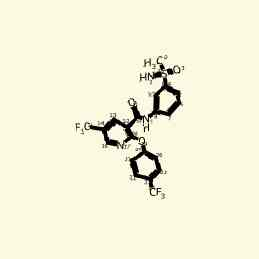 CS(=N)(=O)c1cccc(NC(=O)c2cc(C(F)(F)F)cnc2Oc2ccc(C(F)(F)F)cc2)c1